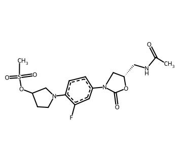 CC(=O)NC[C@H]1CN(c2ccc(N3CCC(OS(C)(=O)=O)C3)c(F)c2)C(=O)O1